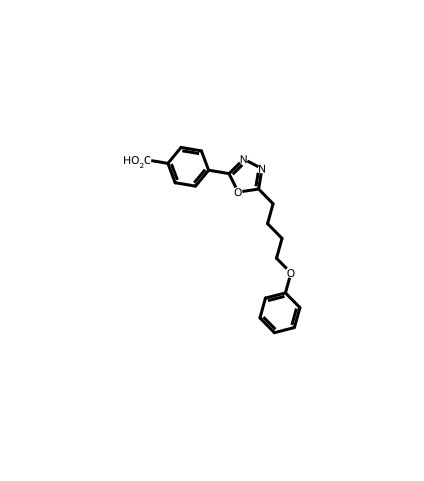 O=C(O)c1ccc(-c2nnc(CCCCOc3ccccc3)o2)cc1